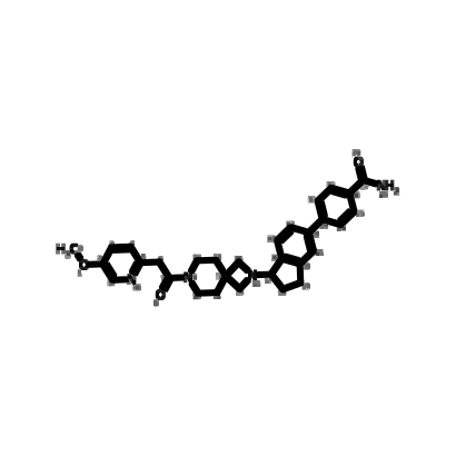 COc1ccc(CC(=O)N2CCC3(CC2)CN(C2CCc4cc(-c5ccc(C(N)=O)cc5)ccc42)C3)nc1